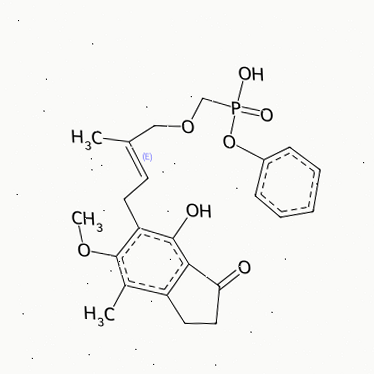 COc1c(C)c2c(c(O)c1C/C=C(\C)COCP(=O)(O)Oc1ccccc1)C(=O)CC2